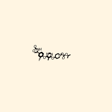 Cc1c(Oc2ccc([C@H]3COC(=O)N3)cc2F)ncnc1OC1CCN(OC(=O)OC(C)C)CC1